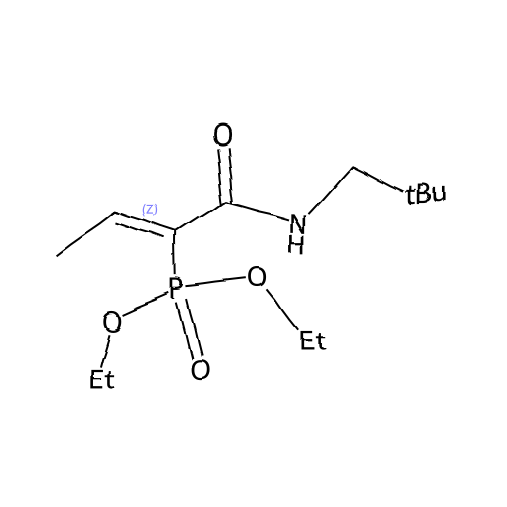 C/C=C(/C(=O)NCC(C)(C)C)P(=O)(OCC)OCC